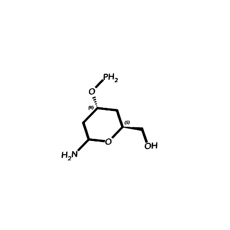 NC1C[C@H](OP)C[C@@H](CO)O1